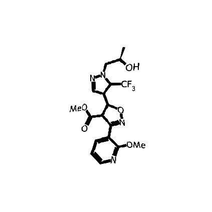 COC(=O)C1C(c2cccnc2OC)=NOC1C1C=NN(C[C@@H](C)O)C1C(F)(F)F